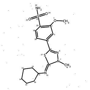 COc1cc(-c2nn(C)c(=NC3CCCCC3)s2)ccc1S(N)(=O)=O